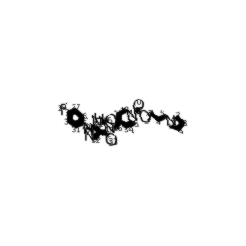 O=C(OCCCN1CCCC1)N1CCC(O)(Cn2cnc3c(cnn3-c3ccc(F)cc3)c2=O)CC1